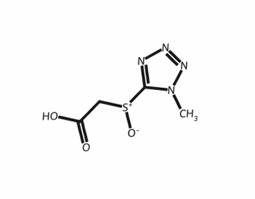 Cn1nnnc1[S+]([O-])CC(=O)O